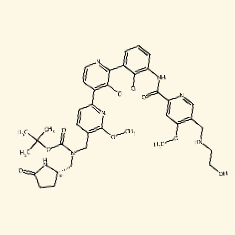 COc1cc(C(=O)Nc2cccc(-c3nccc(-c4ccc(CN(C[C@@H]5CCC(=O)N5)C(=O)OC(C)(C)C)c(OC)n4)c3Cl)c2Cl)ncc1CNCCO